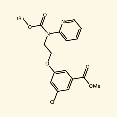 COC(=O)c1cc(Cl)cc(OCCN(C(=O)OC(C)(C)C)c2ccccn2)c1